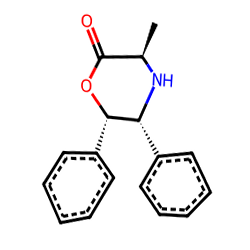 C[C@H]1N[C@H](c2ccccc2)[C@H](c2ccccc2)OC1=O